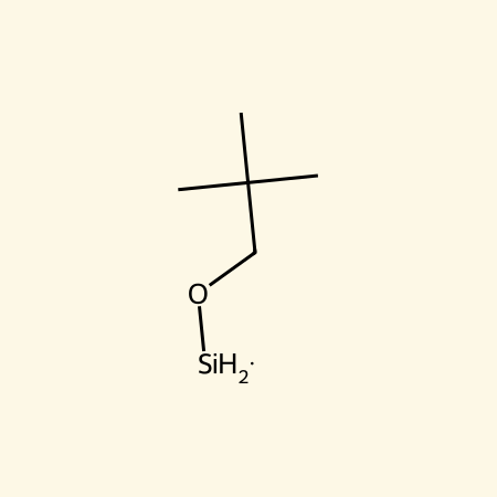 CC(C)(C)CO[SiH2]